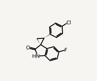 O=C1Nc2ccc(F)cc2[C@@]12C[C@@H]2c1ccc(Cl)cc1